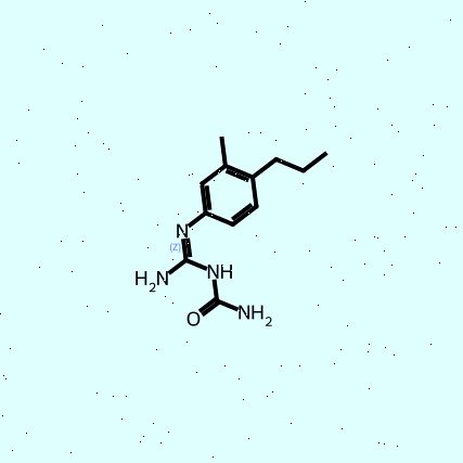 CCCc1ccc(/N=C(/N)NC(N)=O)cc1C